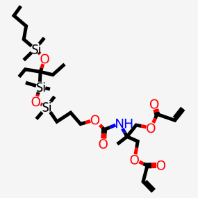 C=CC(=O)OCC(C)(COC(=O)C=C)NC(=O)OCCC[Si](C)(C)O[Si](C)(C)C(CC)(CC)O[Si](C)(C)CCCC